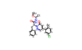 CCC(NC(=O)[C@H](Cc1ccccc1)n1ncc(-c2cc(Cl)ccc2C(C)=O)cc1=O)OC(C)(C)C